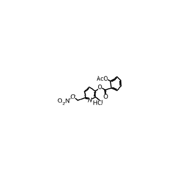 CC(=O)Oc1ccccc1C(=O)Oc1ccc(CO[N+](=O)[O-])nc1C.Cl